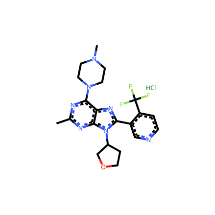 Cc1nc(N2CCN(C)CC2)c2nc(-c3cnccc3C(F)(F)F)n(C3CCOC3)c2n1.Cl